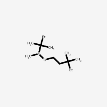 CCC(C)(C)CCOB(C)C(C)(C)CC